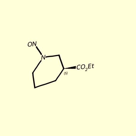 CCOC(=O)[C@H]1CCCN(N=O)C1